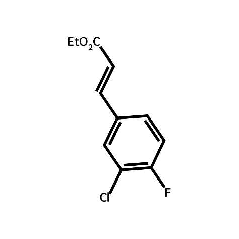 CCOC(=O)/C=C/c1ccc(F)c(Cl)c1